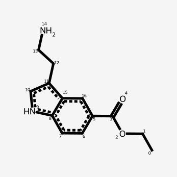 CCOC(=O)c1ccc2[nH]cc(CCN)c2c1